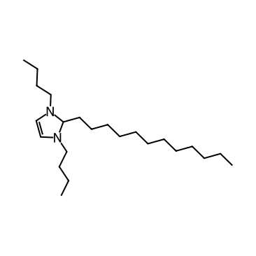 CCCCCCCCCCCCC1N(CCCC)C=CN1CCCC